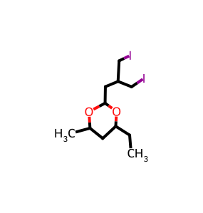 CCC1CC(C)OC(CC(CI)CI)O1